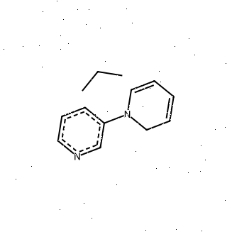 C1=CCN(c2cccnc2)C=C1.CCC